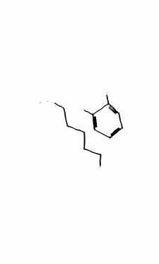 CCCCCCCCCCCCCCCC(=O)O.O=[N+]([O-])c1ccccc1O